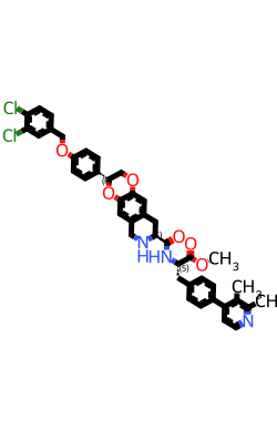 COC(=O)[C@H](Cc1ccc(-c2ccnc(C)c2C)cc1)NC(=O)[C@@H]1Cc2cc3c(cc2CN1)O[C@H](c1ccc(OCc2ccc(Cl)c(Cl)c2)cc1)CO3